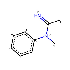 CC(=N)N(C)c1ccccc1